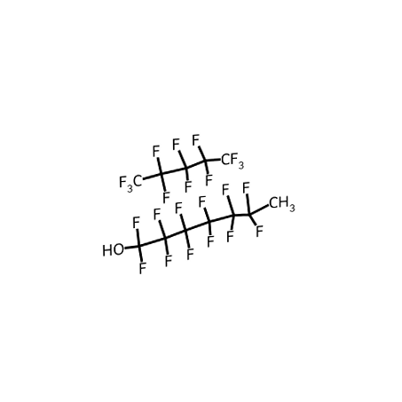 CC(F)(F)C(F)(F)C(F)(F)C(F)(F)C(F)(F)C(O)(F)F.FC(F)(F)C(F)(F)C(F)(F)C(F)(F)C(F)(F)F